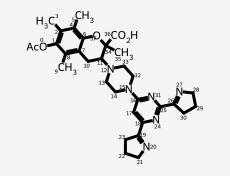 CC(=O)Oc1c(C)c(C)c2c(c1C)CC(N1CCN(c3cc(C4=NCCC4)nc(C4=NCCC4)n3)CC1)C(C)(C(=O)O)O2